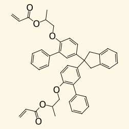 C=CC(=O)OC(C)COc1ccc(C2(c3ccc(OCC(C)OC(=O)C=C)c(-c4ccccc4)c3)Cc3ccccc3C2)cc1-c1ccccc1